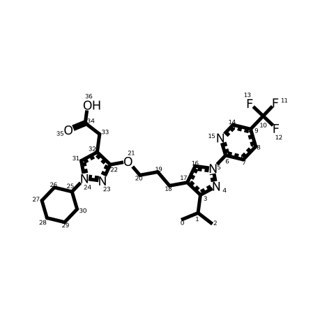 CC(C)c1nn(-c2ccc(C(F)(F)F)cn2)cc1CCCOc1nn(C2CCCCC2)cc1CC(=O)O